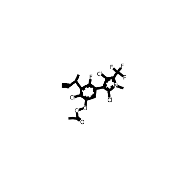 C#CC(C)c1c(F)c(-c2c(Cl)c(C(F)(F)F)n(C)c2Cl)cc(OOC(C)=O)c1Cl